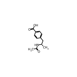 CC(=O)N[C@H](C)Cc1ccc(C(=O)O)cc1